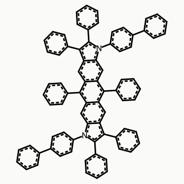 c1ccc(-c2ccc(-n3c(-c4ccccc4)c(-c4ccccc4)c4cc5c(-c6ccccc6)c6cc7c(cc6c(-c6ccccc6)c5cc43)c(-c3ccccc3)c(-c3ccccc3)n7-c3ccc(-c4ccccc4)cc3)cc2)cc1